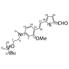 COc1cc(N(C)CCO[Si](C)(C)C(C)(C)C)ccc1C=Cc1ccc(C=O)s1